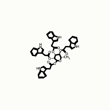 C[C@@H]1OC(OC(=O)Cc2c[nH]c3ccccc23)[C@H](OC(=O)Cc2c[nH]c3ccccc23)[C@H](OC(=O)Cc2c[nH]c3ccccc23)[C@H]1OC(=O)Cc1c[nH]c2ccccc12